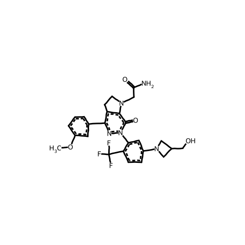 COc1cccc(-c2nn(-c3cc(N4CC(CO)C4)ccc3C(F)(F)F)c(=O)c3c2CCN3CC(N)=O)c1